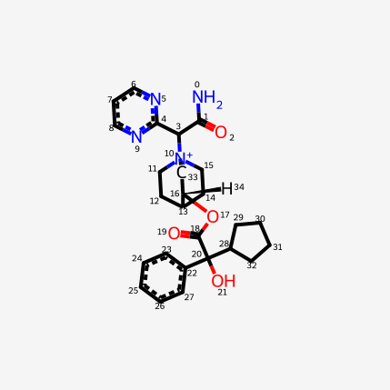 NC(=O)C(c1ncccn1)[N+]12CCC(CC1)[C@@H](OC(=O)C(O)(c1ccccc1)C1CCCC1)C2